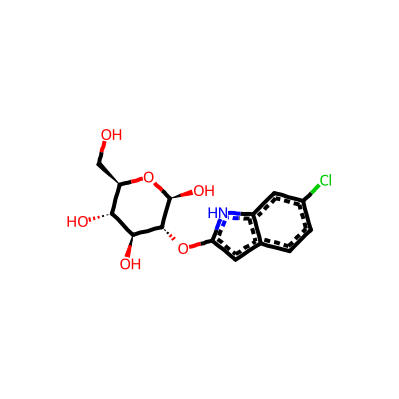 OC[C@H]1O[C@@H](O)[C@H](Oc2cc3ccc(Cl)cc3[nH]2)[C@@H](O)[C@@H]1O